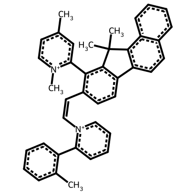 Cc1cc[n+](C)c(-c2c(/C=C\[n+]3ccccc3-c3ccccc3C)ccc3c2C(C)(C)c2c-3ccc3ccccc23)c1